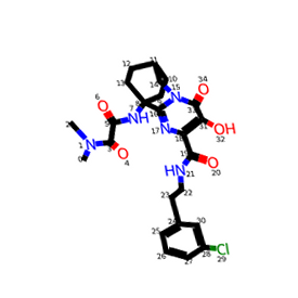 CN(C)C(=O)C(=O)NC12CCC(CC1)Cn1c2nc(C(=O)NCCc2cccc(Cl)c2)c(O)c1=O